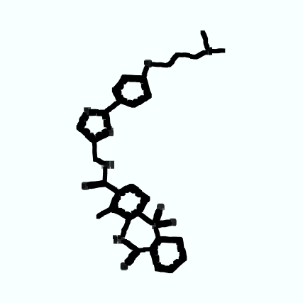 Cc1c(C(=O)NCc2cnc(-c3ccc(OCCCN(C)C)cc3)s2)ccc2c1NC(=O)c1ccccc1S2(=O)=O